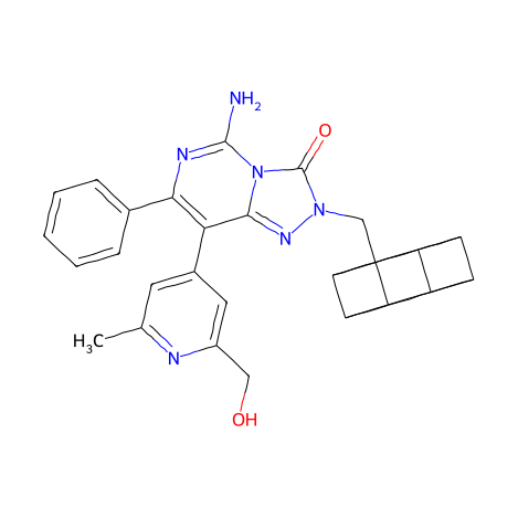 Cc1cc(-c2c(-c3ccccc3)nc(N)n3c(=O)n(CC45C6C7C8C6C4C8C75)nc23)cc(CO)n1